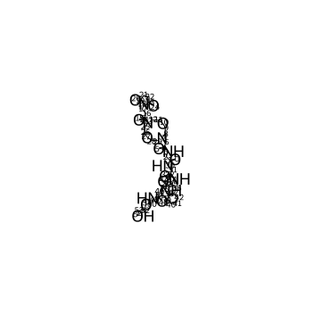 O=C(CNC(=O)CN1CCOCCN(C(=O)CCN2C(=O)C=CC2=O)CCOCC1)NCC(=O)N[C@@H](Cc1ccccc1)C(=O)NCC(=O)NCOCCO